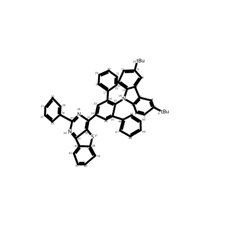 CC(C)(C)c1ccc2c(c1)c1cc(C(C)(C)C)ccc1n2-c1c(-c2ccccc2)cc(-c2nc(-c3ccccc3)nc3c2sc2ccccc23)cc1-c1ccccc1